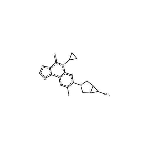 NC1C2CN(c3nc4c(cc3F)c3ocnc3c(=O)n4C3CC3)CC12